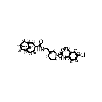 O=C(NCC1CCCN(C(=O)Nc2ccc(Cl)cc2Cl)C1)C1CC2CC3CC(C2)C(C3)C1